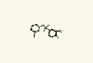 Cc1cccc(CC(C)(C)c2ccc(F)c(Cl)c2)c1